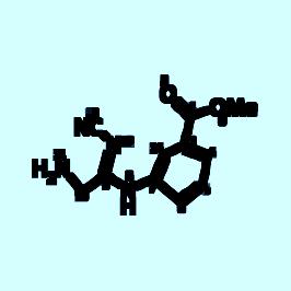 COC(=O)c1cccc(NC(CN)=NC#N)c1